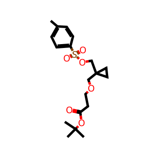 Cc1ccc(S(=O)(=O)OCC2(COCCC(=O)OC(C)(C)C)CC2)cc1